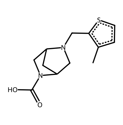 Cc1ccsc1CN1CC2CC1CN2C(=O)O